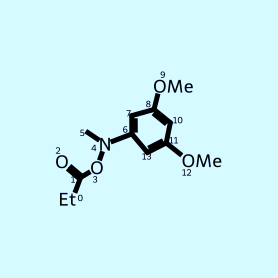 CCC(=O)ON(C)c1cc(OC)cc(OC)c1